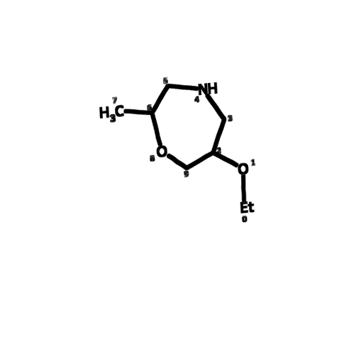 CCOC1CNCC(C)OC1